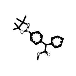 COC(=O)C(c1ccccc1)c1ccc(B2OC(C)(C)C(C)(C)O2)cc1